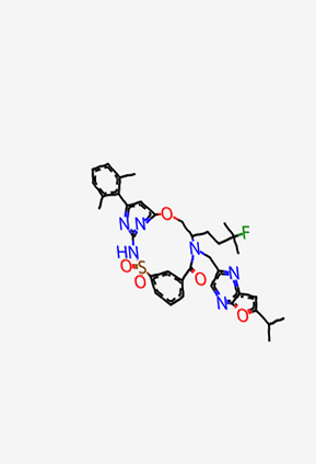 Cc1cccc(C)c1-c1cc2nc(n1)NS(=O)(=O)c1cccc(c1)C(=O)N(Cc1cnc3oc(C(C)C)cc3n1)C(CCC(C)(C)F)CO2